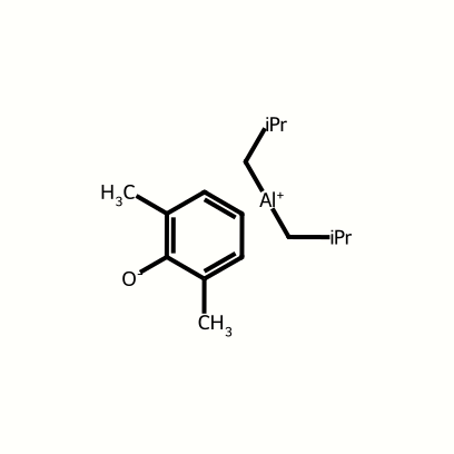 CC(C)[CH2][Al+][CH2]C(C)C.Cc1cccc(C)c1[O-]